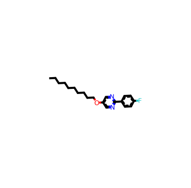 CCCCCCCCCCOc1cnc(-c2ccc(F)cc2)nc1